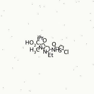 CCc1nc2c(cc1NC(=O)c1ccc(Cl)s1)c(OC(C)C)c(C(=O)O)n2C